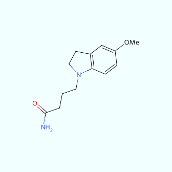 COc1ccc2c(c1)CCN2CCCC(N)=O